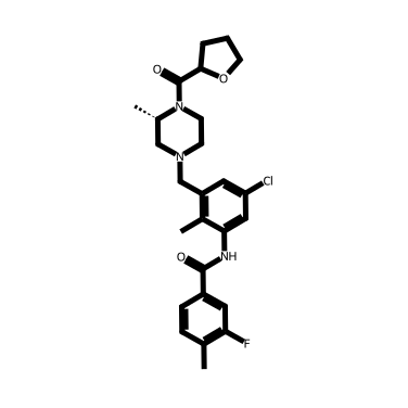 Cc1ccc(C(=O)Nc2cc(Cl)cc(CN3CCN(C(=O)C4CCCO4)[C@@H](C)C3)c2C)cc1F